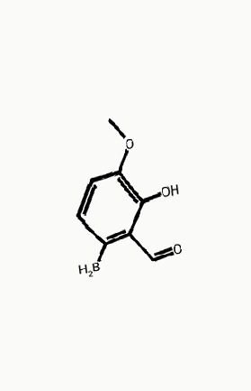 Bc1ccc(OC)c(O)c1C=O